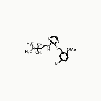 COc1ccc(Br)cc1CSc1nccnc1NCCC(C)(C)N(C)C